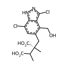 CC(C(=O)O)[C@](C)(Cc1cc(Cl)c2[nH]nc(Cl)c2c1CO)C(=O)O